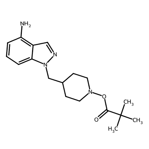 CC(C)(C)C(=O)ON1CCC(Cn2ncc3c(N)cccc32)CC1